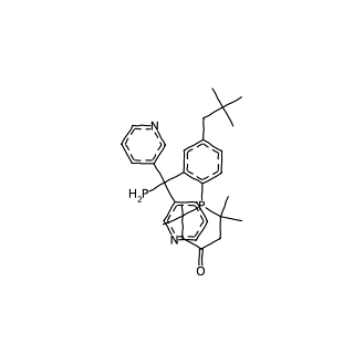 CC(C)(C)Cc1ccc(P2C(C)(C)CC(=O)CC2(C)C)c(C(P)(c2cccnc2)c2cccnc2)c1